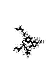 CCC(C)COC(=O)Oc1ccc(C(C(C)COC(=O)C(C)(C)C)[C@H](N)C(=O)O)cc1OC(=O)OCC(C)CC